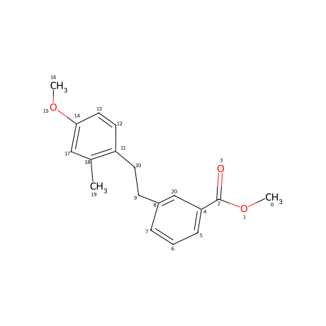 COC(=O)c1cccc(CCc2ccc(OC)cc2C)c1